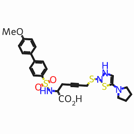 COc1ccc(-c2ccc(S(=O)(=O)NC(CC#CCSN3NC=C(N4CCCC4)S3)C(=O)O)cc2)cc1